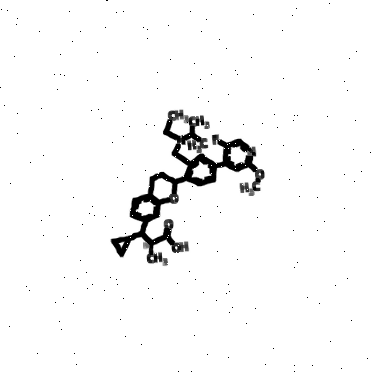 CCN(Cc1cc(-c2cc(OC)ncc2F)ccc1C1CCc2ccc(C(C3CC3)[C@H](C)C(=O)O)cc2O1)C(C)C